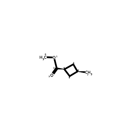 COC(=O)[C@H]1C[C@@H](C)C1